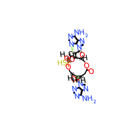 C[C@@]1(F)[C@@H]2O[P@](=O)(S)OC[C@H]3O[C@@H](n4cnc5c(N)ncnc54)[C@H](CC(=O)OC[C@H]2O[C@H]1n1cnc2c(N)ncnc21)[C@@H]3F